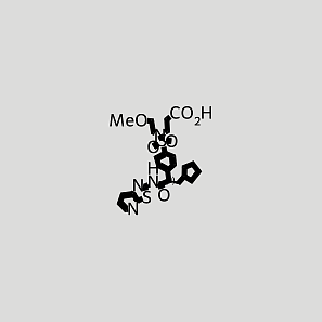 COCCN(CCC(=O)O)S(=O)(=O)c1ccc([C@@H](CC2CCCC2)C(=O)Nc2nc3cccnc3s2)cc1